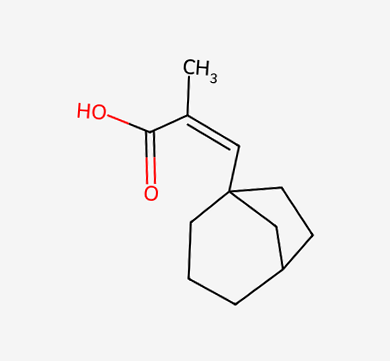 CC(=CC12CCCC(CC1)C2)C(=O)O